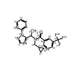 CC(c1ncnn1-c1ccccn1)N(CC1CC1)C(=O)c1cncc(C(F)(F)F)c1